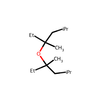 CCC(C)(CC(C)C)OC(C)(CC)CC(C)C